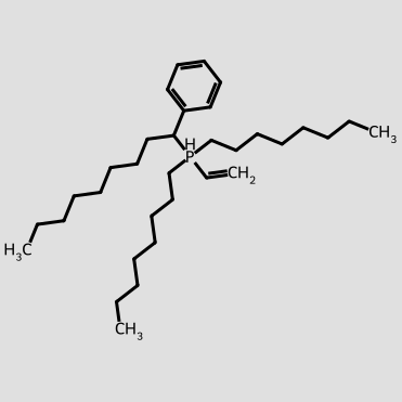 C=C[PH](CCCCCCCC)(CCCCCCCC)C(CCCCCCCC)c1ccccc1